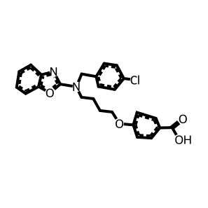 O=C(O)c1ccc(OCCCCN(Cc2ccc(Cl)cc2)c2nc3ccccc3o2)cc1